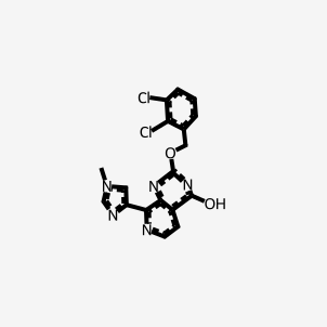 Cn1cnc(-c2nccc3c(O)nc(OCc4cccc(Cl)c4Cl)nc23)c1